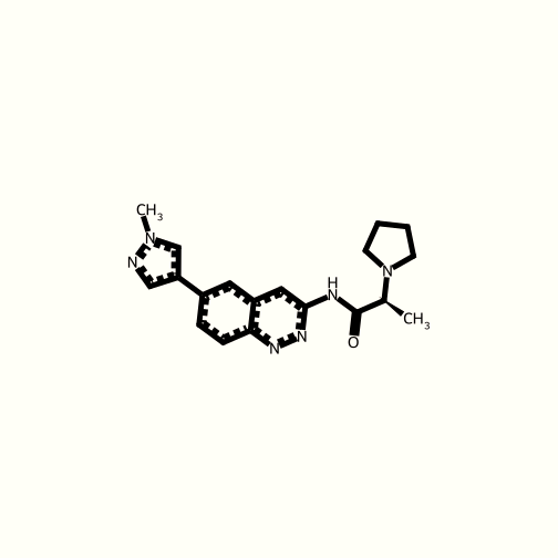 C[C@@H](C(=O)Nc1cc2cc(-c3cnn(C)c3)ccc2nn1)N1CCCC1